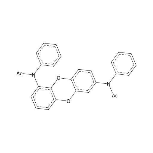 CC(=O)N(c1ccccc1)c1ccc2c(c1)Oc1cccc(N(C(C)=O)c3ccccc3)c1O2